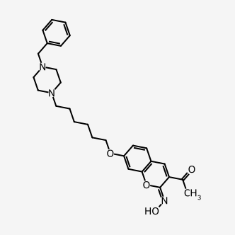 CC(=O)c1cc2ccc(OCCCCCCN3CCN(Cc4ccccc4)CC3)cc2oc1=NO